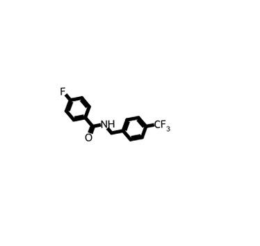 O=C(NCc1ccc(C(F)(F)F)cc1)c1ccc(F)cc1